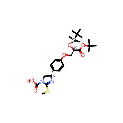 CSC1=N[C@@H](c2ccc(OC[C@@H](O[Si](C)(C)C(C)(C)C)C(=O)OC(C)(C)C)cc2)CN1C(=O)O